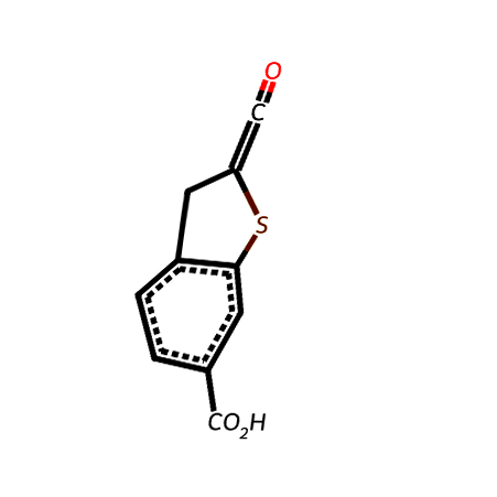 O=C=C1Cc2ccc(C(=O)O)cc2S1